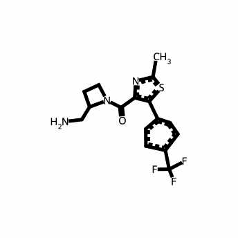 Cc1nc(C(=O)N2CCC2CN)c(-c2ccc(C(F)(F)F)cc2)s1